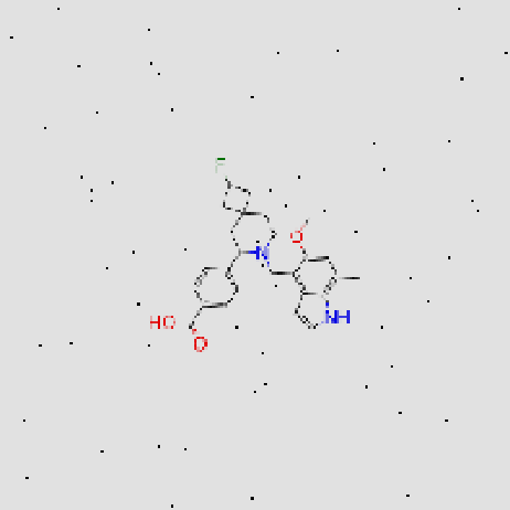 COc1cc(C)c2[nH]ccc2c1CN1CCC2(CC(F)C2)CC1c1ccc(C(=O)O)cc1